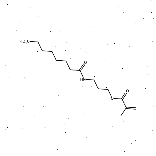 C=C(C)C(=O)OCCCNC(=O)CCCCCCC(=O)O